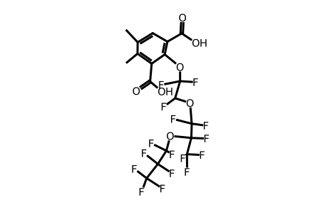 Cc1cc(C(=O)O)c(OC(F)(F)C(F)OC(F)(F)C(F)(OC(F)(F)C(F)(F)C(F)(F)F)C(F)(F)F)c(C(=O)O)c1C